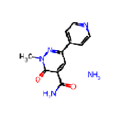 Cn1nc(-c2ccncc2)cc(C(N)=O)c1=O.N